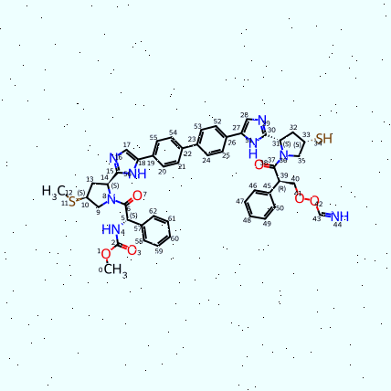 COC(=O)N[C@H](C(=O)N1C[C@@H](SC)C[C@H]1c1ncc(-c2ccc(-c3ccc(-c4cnc([C@@H]5C[C@H](S)CN5C(=O)[C@@H](COOC=N)c5ccccc5)[nH]4)cc3)cc2)[nH]1)c1ccccc1